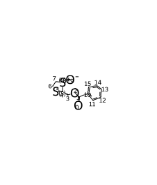 O=C(OC[C@H]1SCC[S@@+]1[O-])c1ccccc1